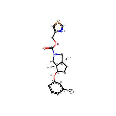 O=C(OCc1cscn1)N1C[C@H]2CC[C@@H](Oc3cccc(C(F)(F)F)c3)[C@H]2C1